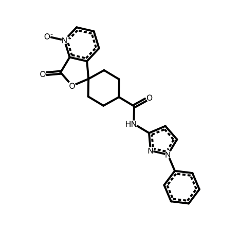 O=C1OC2(CCC(C(=O)Nc3ccn(-c4ccccc4)n3)CC2)c2ccc[n+]([O-])c21